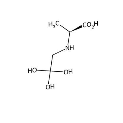 C[C@H](NCC(O)(O)O)C(=O)O